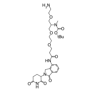 CN(C(=O)OC(C)(C)C)C(COCCN)COCCOCCC(=O)Nc1cccc2c1CN(C1CCC(=O)NC1=O)C2=O